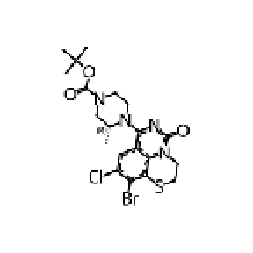 C[C@@H]1CN(C(=O)OC(C)(C)C)CCN1c1nc(=O)n2c3c(c(Br)c(Cl)cc13)SCC2